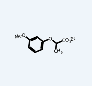 CCOC(=O)C(C)Oc1cccc(OC)c1